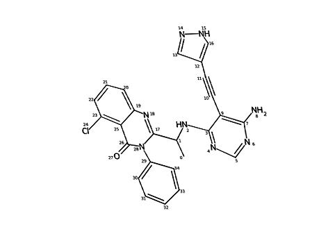 CC(Nc1ncnc(N)c1C#Cc1cn[nH]c1)c1nc2cccc(Cl)c2c(=O)n1-c1ccccc1